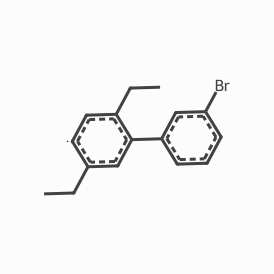 CCc1[c]cc(CC)c(-c2cccc(Br)c2)c1